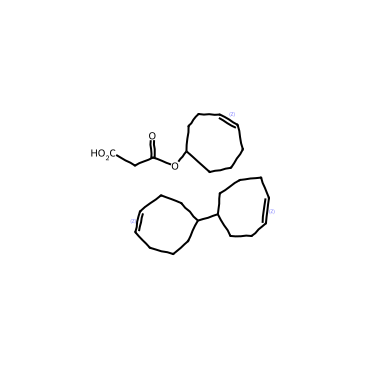 C1=C\CCC(C2CC/C=C\CCC2)CCC/1.O=C(O)CC(=O)OC1CC/C=C\CCC1